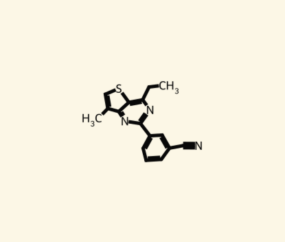 CCc1nc(-c2cccc(C#N)c2)nc2c(C)csc12